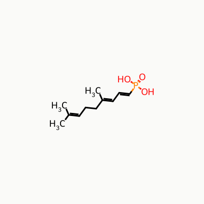 CC(C)=CCC/C(C)=C/C=C/P(=O)(O)O